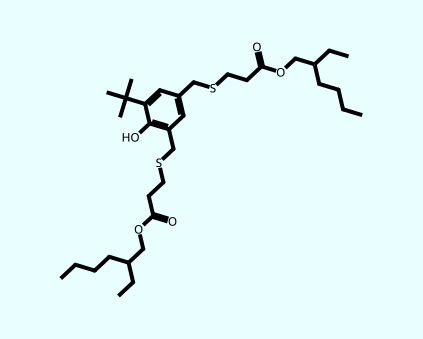 CCCCC(CC)COC(=O)CCSCc1cc(CSCCC(=O)OCC(CC)CCCC)c(O)c(C(C)(C)C)c1